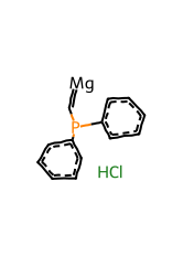 Cl.[Mg]=[CH]P(c1ccccc1)c1ccccc1